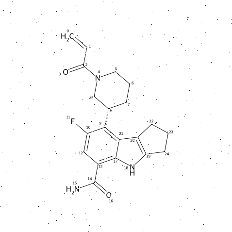 C=CC(=O)N1CCC[C@H](c2c(F)cc(C(N)=O)c3[nH]c4c(c23)CCC4)C1